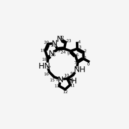 Cc1cc(C)c2cc1NC[C@@H]1CCCN1CCNc1ccn3ncc-2c3n1